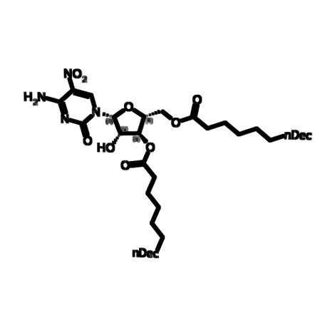 CCCCCCCCCCCCCCCC(=O)OC[C@H]1O[C@@H](n2cc([N+](=O)[O-])c(N)nc2=O)[C@@H](O)[C@@H]1OC(=O)CCCCCCCCCCCCCCC